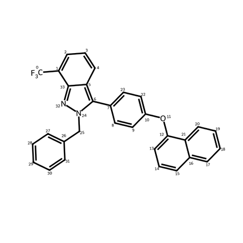 FC(F)(F)c1cccc2c(-c3ccc(Oc4cccc5ccccc45)cc3)n(Cc3ccccc3)nc12